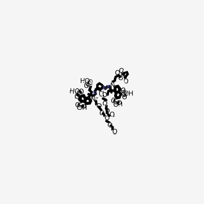 COCCOCCOCCOCCOCC[N+]1=C(/C=C/C2=C(Cl)C(=C/C=C3/N(CCCC(=O)ON4C(=O)CCC4=O)c4ccc5c(S(=O)(=O)O)cc(S(=O)(=O)O)cc5c4C3(C)CCOCCOCCOCCOC)/CCC2)C(C)(CCCS(=O)(=O)O)c2c1ccc1c(S(=O)(=O)O)cc(S(=O)(=O)O)cc21